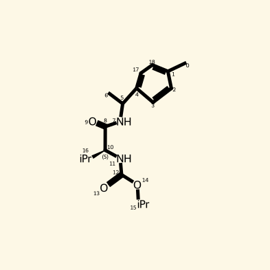 Cc1ccc(C(C)NC(=O)[C@@H](NC(=O)OC(C)C)C(C)C)cc1